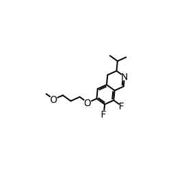 COCCCOc1cc2c(c(F)c1F)C=NC(C(C)C)C2